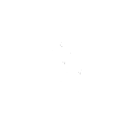 [c]1cn(-c2ccccn2)cn1